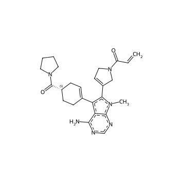 C=CC(=O)N1CC=C(c2c(C3=CC[C@@H](C(=O)N4CCCC4)CC3)c3c(N)ncnc3n2C)C1